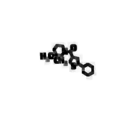 CC1(C)CCCN(C(=O)C2C=C(C3CCCCC3)SC2)C1